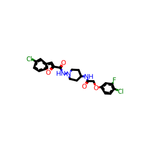 O=C(COc1ccc(Cl)c(F)c1)NC1CCN(NC(=O)c2cc3cc(Cl)ccc3o2)CC1